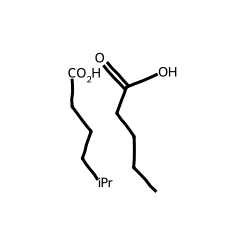 CC(C)CCCC(=O)O.CCCCC(=O)O